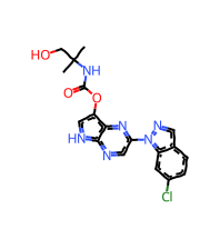 CC(C)(CO)NC(=O)Oc1c[nH]c2ncc(-n3ncc4ccc(Cl)cc43)nc12